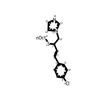 CCCCCCCCSC(/C=C/c1ccc(Cl)cc1)Cn1ccnc1